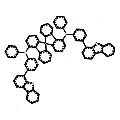 c1ccc(N(c2cccc(-c3cccc4c3oc3ccccc34)c2)c2cccc3c2-c2ccccc2C32c3ccccc3-c3c(N(c4ccccc4)c4cccc(-c5cccc6c5oc5ccccc56)c4)cccc32)cc1